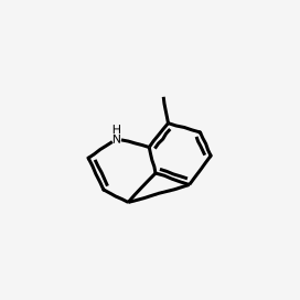 Cc1ccc2c3c1NC=CC23